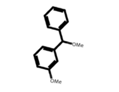 COc1cccc(C(OC)c2ccccc2)c1